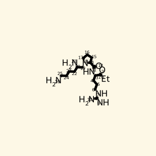 CCC(=O)C(CCCNC(=N)N)NC(=O)C1CCCN1CC(N)CCCCN